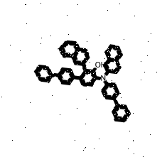 Oc1c(N(c2ccc(-c3ccccc3)cc2)c2ccc3ccccc3c2)ccc(-c2ccc(-c3ccccc3)cc2)c1-c1ccc2ccccc2c1